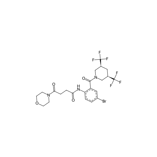 O=C(CCC(=O)N1CCOCC1)Nc1ccc(Br)cc1C(=O)N1C[C@H](C(F)(F)F)C[C@H](C(F)(F)F)C1